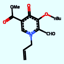 C=CCn1cc(C(=O)OC)c(=O)c(OCCCC)c1C=O